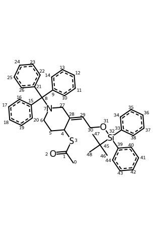 CC(=O)SC1CCN(C(c2ccccc2)(c2ccccc2)c2ccccc2)CC1=CCO[Si](c1ccccc1)(c1ccccc1)C(C)(C)C